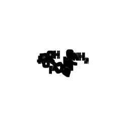 Cc1c(C(N)=O)nc2n1C1C=C(C1)c1cc(F)c(C#C[C@]3(O)CCN(C)C3=O)cc1-2